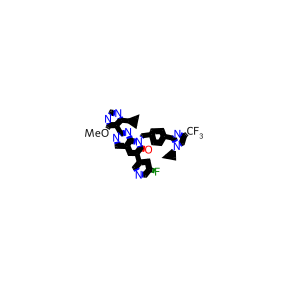 COc1ncnc(C2CC2)c1-c1ncc2cc(-c3cncc(F)c3)c(=O)n(Cc3ccc(-c4nc(C(F)(F)F)cn4C4CC4)cc3)c2n1